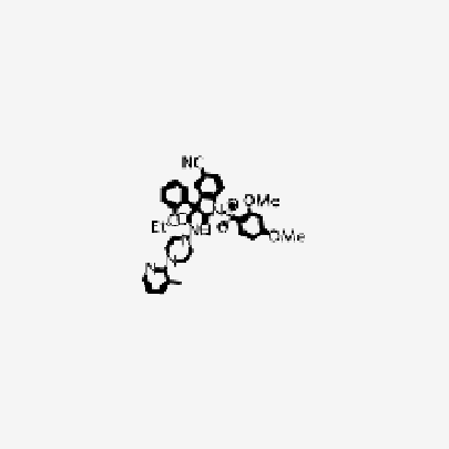 CCOc1ccccc1C1(C(=O)NN2CCN(c3ncccc3C)CC2)C(=O)N(S(=O)(=O)c2ccc(OC)cc2OC)c2ccc(C#N)cc21